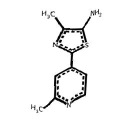 Cc1cc(-c2nc(C)c(N)s2)ccn1